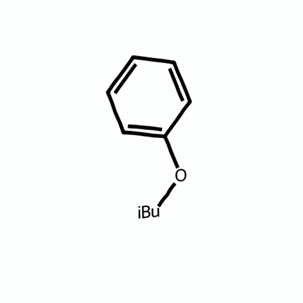 [CH2]C(CC)Oc1ccccc1